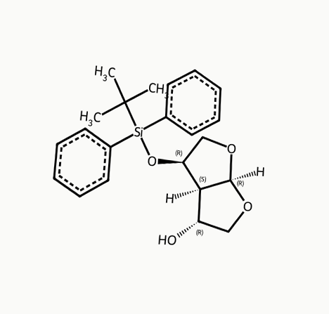 CC(C)(C)[Si](O[C@H]1CO[C@H]2OC[C@H](O)[C@H]21)(c1ccccc1)c1ccccc1